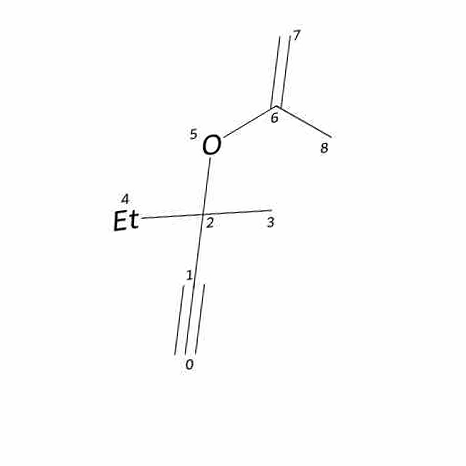 C#CC(C)(CC)OC(=C)C